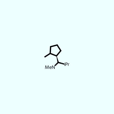 CNC(C(C)C)[C@@H]1CCCC1C